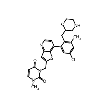 Cc1cc(Cl)cc(-c2ccnc3cc(Cn4c(=O)ccn(C)c4=O)sc23)c1CC1CNCCO1